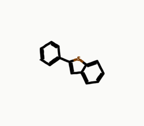 [c]1cccc(-c2cc3ccccc3s2)c1